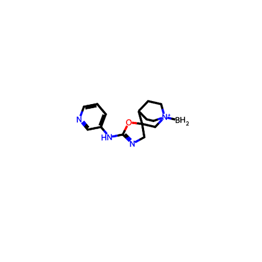 B[N+]12CCC(CC1)C1(CN=C(Nc3cccnc3)O1)C2